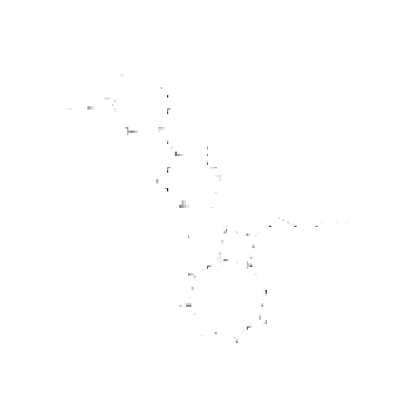 COCC1[C@@H](c2ccc(C3CCCC(C)C3)cc2)[C@@H]2CNCCCCN12